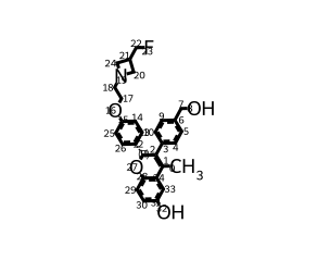 CC1=C(c2ccc(CO)cc2)[C@@H](c2ccc(OCCN3CC(CF)C3)cc2)Oc2ccc(O)cc21